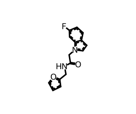 O=C(Cn1ccc2ccc(F)cc21)NCc1ccco1